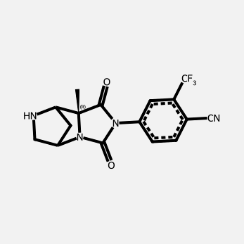 C[C@@]12C(=O)N(c3ccc(C#N)c(C(F)(F)F)c3)C(=O)N1C1CNC2C1